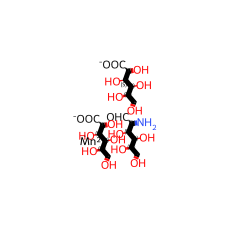 N[C@@H](C=O)[C@@H](O)[C@H](O)[C@H](O)CO.O=C([O-])[C@H](O)[C@@H](O)[C@H](O)[C@H](O)CO.O=C([O-])[C@H](O)[C@@H](O)[C@H](O)[C@H](O)CO.[Mn+2]